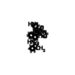 Cc1ccccc1C(=O)Nc1ccc(S(=O)(=O)N(C(=O)N2CCOCC2)C2CCNCC2)c2ccccc12